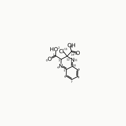 O=C(O)C1N=c2ccccc2=NC1(Cl)C(=O)O